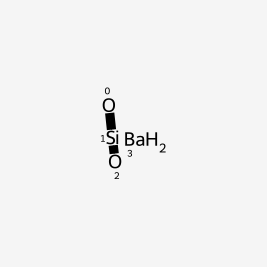 O=[Si]=O.[BaH2]